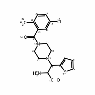 NC(C=O)C(c1cccs1)N1CCN(C(=O)c2cc(Cl)ccc2C(F)(F)F)CC1